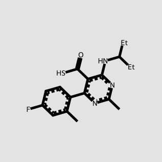 CCC(CC)Nc1nc(C)nc(-c2ccc(F)cc2C)c1C(=O)S